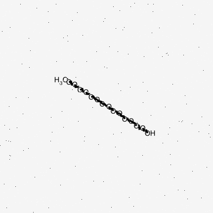 CCOCCOCCOCCOCCOCCOCCOCCOCCOCCOCCOCCOCCOCCOCCO